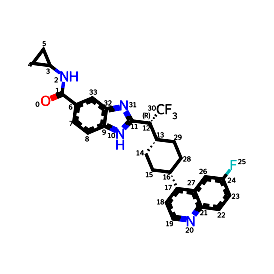 O=C(NC1CC1)c1ccc2[nH]c([C@@H]([C@H]3CC[C@@H](c4ccnc5ccc(F)cc54)CC3)C(F)(F)F)nc2c1